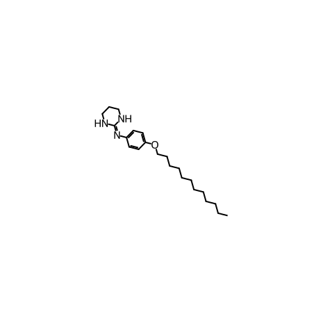 CCCCCCCCCCCCOc1ccc(N=C2NCCCN2)cc1